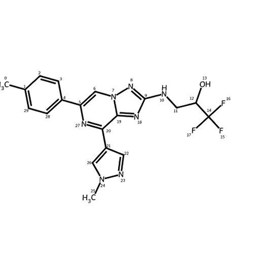 Cc1ccc(-c2cn3nc(NCC(O)C(F)(F)F)nc3c(-c3cnn(C)c3)n2)cc1